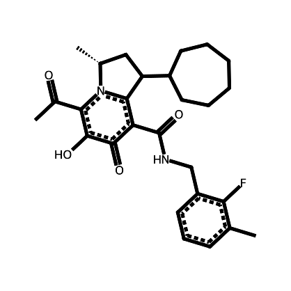 CC(=O)c1c(O)c(=O)c(C(=O)NCc2cccc(C)c2F)c2n1[C@H](C)CC2C1CCCCCC1